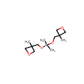 CC1(CO[Si](C)(C)OCC2(C)COC2)COC1